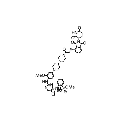 COc1cc(N2CCC(N3CCN(C(=O)CSc4cccc5c4C(=O)N(C4CCC(=O)NC4=O)C5=O)CC3)CC2)ccc1Nc1ncc(Cl)c(Nc2ccccc2P(=O)(OC)OC)n1